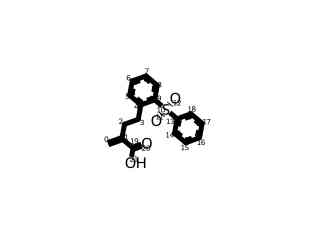 C=C(CCc1ccccc1S(=O)(=O)c1ccccc1)C(=O)O